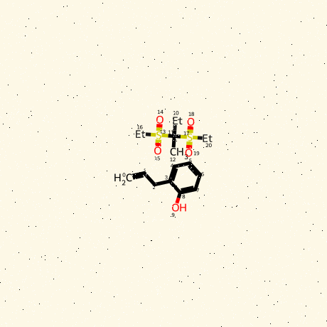 C=CCc1ccccc1O.CCC(C)(S(=O)(=O)CC)S(=O)(=O)CC